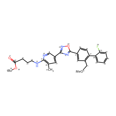 COCc1cc(-c2nc(-c3cnc(NCCCC(=O)OC(C)(C)C)c(C)c3)no2)ccc1-c1ccccc1F